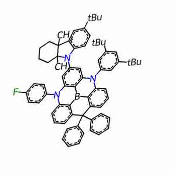 CC(C)(C)c1cc(N2c3cc(N4c5ccc(C(C)(C)C)cc5C5(C)CCCCC45C)cc4c3B3c5c(cccc5C(c5ccccc5)(c5ccccc5)c5cccc2c53)N4c2ccc(F)cc2)cc(C(C)(C)C)c1